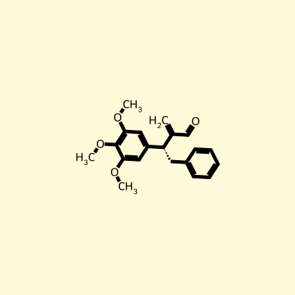 C=C(C=O)[C@H](Cc1ccccc1)c1cc(OC)c(OC)c(OC)c1